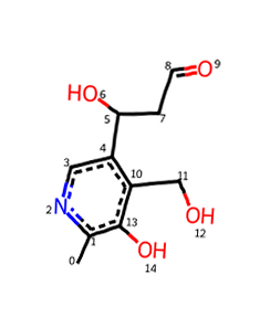 Cc1ncc(C(O)CC=O)c(CO)c1O